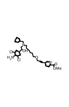 COC(=O)c1ccc(C#CCOCCCCCCN(Cc2ccccc2)CC(O)c2cc(Cl)c(N)c(Cl)c2)cn1